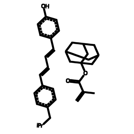 C=C(C)C(=O)OC12CC3CC(CC(C3)C1)C2.CC(C)Cc1ccc(C=CC=Cc2ccc(O)cc2)cc1